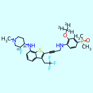 [2H]C([2H])([2H])Oc1cc(P(C)(C)=O)ccc1NCC#Cc1sc2c(N[C@@H]3CCN(C)C[C@@H]3F)cccc2c1CC(F)(F)F